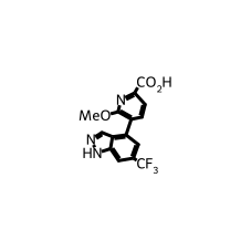 COc1nc(C(=O)O)ccc1-c1cc(C(F)(F)F)cc2[nH]ncc12